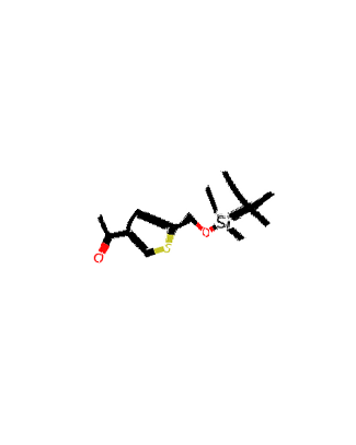 CC(=O)c1csc(CO[Si](C)(C)C(C)(C)C)c1